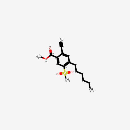 C#Cc1cc(CCCCCC)c(S(C)(=O)=O)cc1C(=O)OC